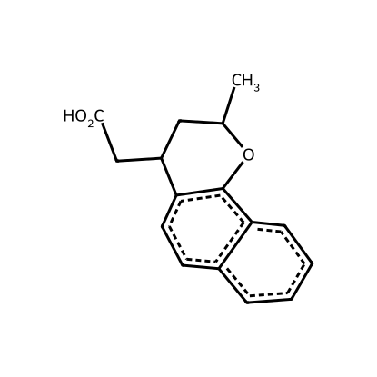 CC1CC(CC(=O)O)c2ccc3ccccc3c2O1